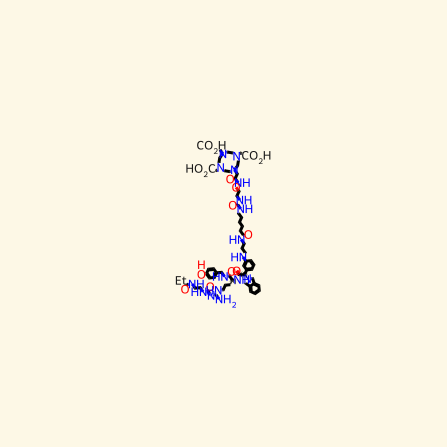 CCC(=O)NCCNC(=O)/N=C(/N)NCCC[C@@H](NC(=O)[C@H](c1cccc(NCCCNC(=O)CCCCCNC(=O)NCCONC(=O)CN2CCN(CC(=O)O)CCN(CC(=O)O)CCN(CC(=O)O)CC2)c1)N1Cc2ccccc2C1)C(=O)NCc1ccc(O)cc1